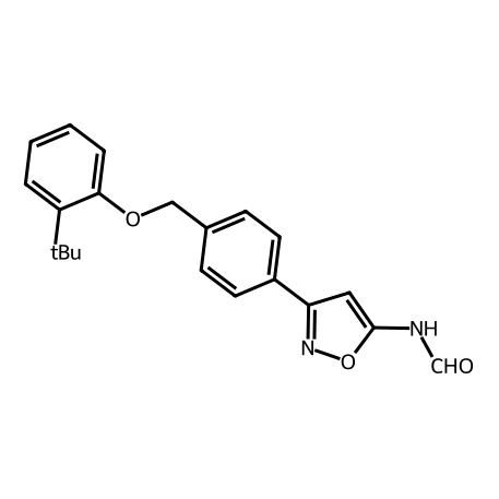 CC(C)(C)c1ccccc1OCc1ccc(-c2cc(NC=O)on2)cc1